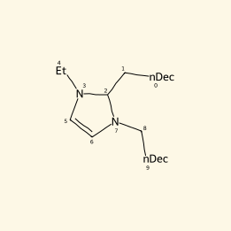 CCCCCCCCCCCC1N(CC)C=CN1CCCCCCCCCCC